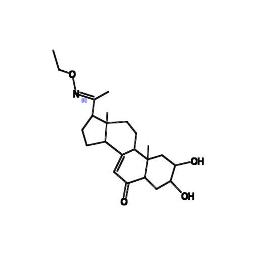 CCO/N=C(\C)C1CCC2C3=CC(=O)C4CC(O)C(O)CC4(C)C3CCC21C